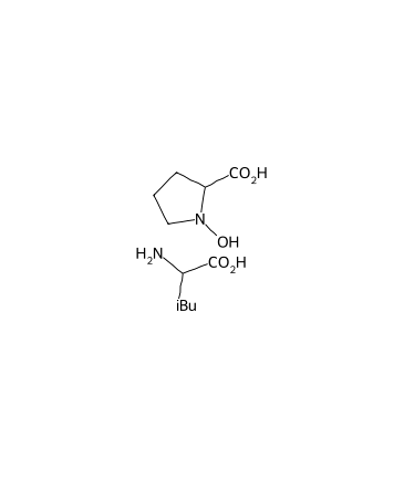 CCC(C)C(N)C(=O)O.O=C(O)C1CCCN1O